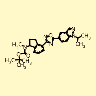 CC(C)n1ncc2cc(-c3nc(-c4cccc5c4CCC5N(C)C(=O)OC(C)(C)C)no3)ccc21